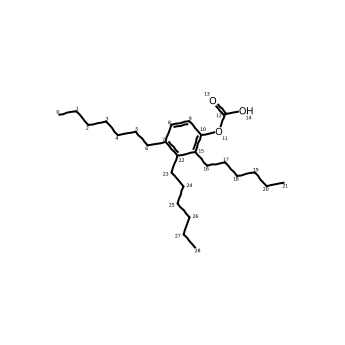 CCCCCCCc1ccc(OC(=O)O)c(CCCCCC)c1CCCCCC